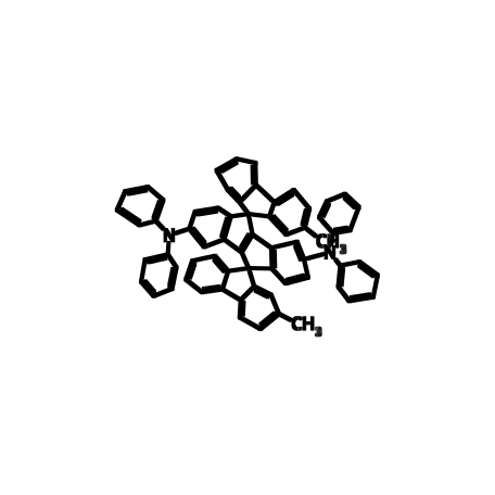 Cc1ccc2c(c1)C1(C3=C(c4cc(N(c5ccccc5)c5ccccc5)ccc41)C1(c4ccc(N(c5ccccc5)c5ccccc5)cc43)c3ccccc3-c3ccc(C)cc31)c1ccccc1-2